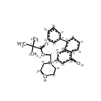 CCC(C)(C)C(=O)OC[N+]1(c2cc(=O)c3cccc(-c4ccccc4)c3o2)CCOCC1